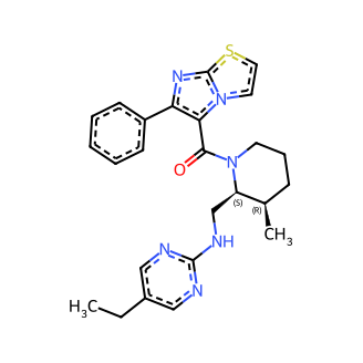 CCc1cnc(NC[C@@H]2[C@H](C)CCCN2C(=O)c2c(-c3ccccc3)nc3sccn23)nc1